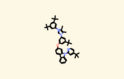 Cc1c(C)[n+](-c2cc(C(C)(C)C)cc(C(C)(C)C)c2)cn1-c1cc(Oc2ccc3c4ccccc4n(-c4cc(C(C)(C)C)ccn4)c3c2)cc(C(C)(C)C)c1